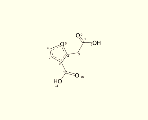 O=C(O)Cc1occc1C(=O)O